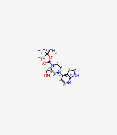 CC(C)(C)OC(=O)N1CCN(c2ccnc3c2CCN3)C[C@H]1CO